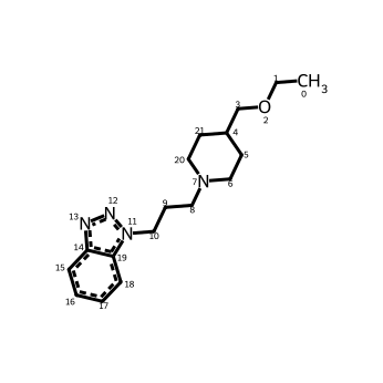 CCOCC1CCN(CCCn2nnc3ccccc32)CC1